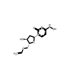 C=COC[C@H]1O[C@@H](n2ccc(NO)nc2=O)C[C@@H]1O